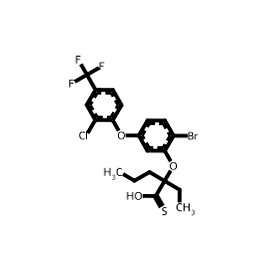 CCCC(CC)(Oc1cc(Oc2ccc(C(F)(F)F)cc2Cl)ccc1Br)C(O)=S